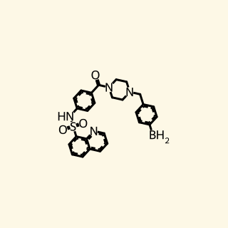 Bc1ccc(CN2CCN(C(=O)c3ccc(NS(=O)(=O)c4cccc5cccnc45)cc3)CC2)cc1